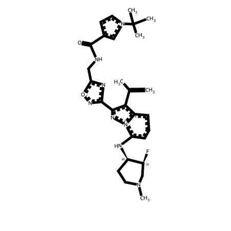 C=C(C)c1c(-c2noc(CNC(=O)c3ccn(C(C)(C)C)c3)n2)nn2c(N[C@@H]3CCN(C)C[C@@H]3F)cccc12